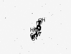 Cc1nc(N[C@H](C)c2cccc(C(F)(F)C(C)(C)O)c2)c2cc(S(C)(=O)=O)ncc2n1